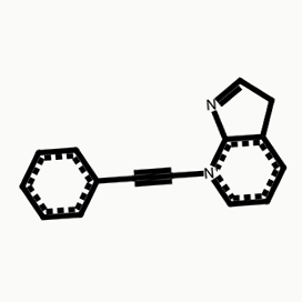 C(#C[n+]1cccc2c1N=CC2)c1ccccc1